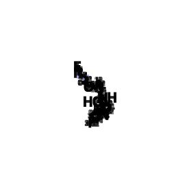 C=C(/C=C\C=N/CF)OCCN(CC)CCNC(O)c1cccc2nc3c(nc12)=CC[C@](C)(I)C=3